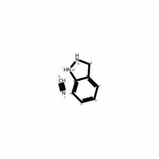 C#N.c1ccc2c(c1)CNN2